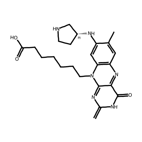 C=c1nc2c(c(=O)[nH]1)=Nc1cc(C)c(N[C@@H]3CCNC3)cc1N2CCCCCCC(=O)O